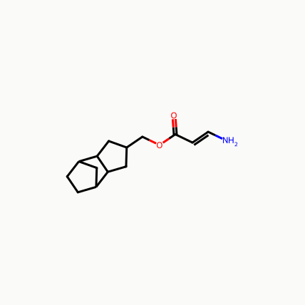 NC=CC(=O)OCC1CC2C3CCC(C3)C2C1